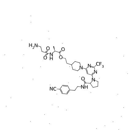 C[C@H](NS(=O)(=O)CCN)C(=O)OCCC1CCN(c2cc(N3CCCC3C(=O)NCCc3ccc(C#N)cc3)nc(C(F)(F)F)n2)CC1